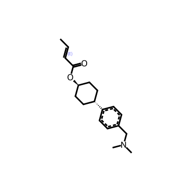 C/C=C/C(=O)O[C@H]1CC[C@H](c2ccc(CN(C)C)cc2)CC1